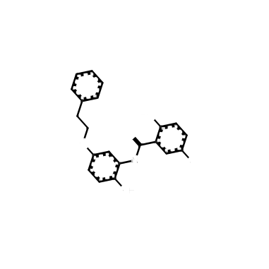 Cc1ccc(OCCc2ccccc2)cc1NC(=O)c1cc(Cl)ccc1O